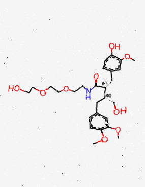 COc1cc(C[C@@H](C(=O)NCCOCCOCCO)[C@H](CO)Cc2ccc(OC)c(OC)c2)ccc1O